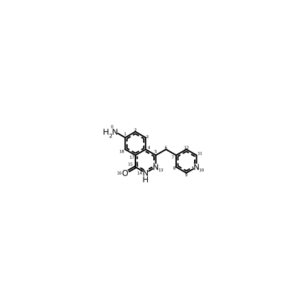 Nc1ccc2c(Cc3ccncc3)n[nH]c(=O)c2c1